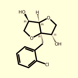 O[C@@H]1CO[C@@]2(Cc3ccccc3Cl)[C@@H]1OC[C@@H]2O